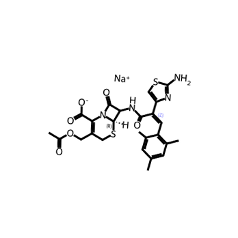 CC(=O)OCC1=C(C(=O)[O-])N2C(=O)C(NC(=O)/C(=C\c3c(C)cc(C)cc3C)c3csc(N)n3)[C@H]2SC1.[Na+]